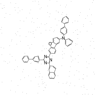 c1ccc(-c2ccc(-c3nc(-c4ccc5ccccc5c4)nc(-c4ccc5c(c4)oc4ccc(N(c6ccccc6)c6ccc(-c7ccccc7)cc6)cc45)n3)cc2)cc1